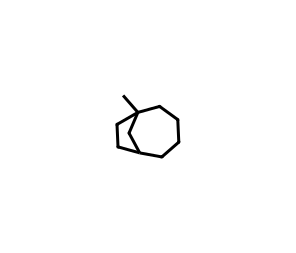 CC12CCCCC(CC1)C2